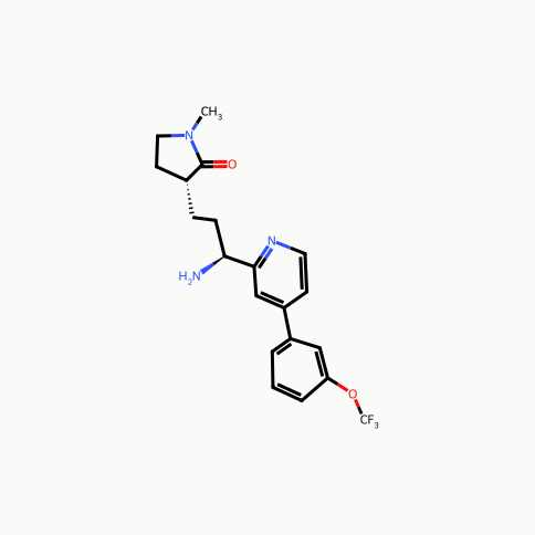 CN1CC[C@@H](CC[C@H](N)c2cc(-c3cccc(OC(F)(F)F)c3)ccn2)C1=O